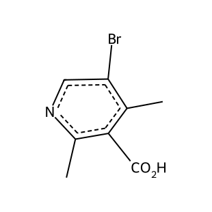 Cc1ncc(Br)c(C)c1C(=O)O